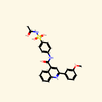 COc1cccc(-c2cc(C(=O)Nc3ccc(S(=O)(=O)NC(C)=O)cc3)c3ccccc3n2)c1